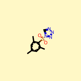 Cc1cc(C)c(S(=O)(=O)n2cnnn2)c(C)c1